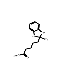 COC(=O)CCCCC1(C(F)(F)F)Nc2ccccc2N1